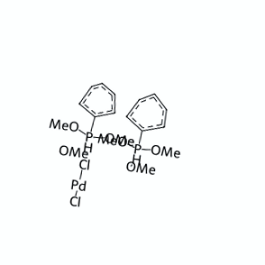 CO[PH](OC)(OC)c1ccccc1.CO[PH](OC)(OC)c1ccccc1.[Cl][Pd][Cl]